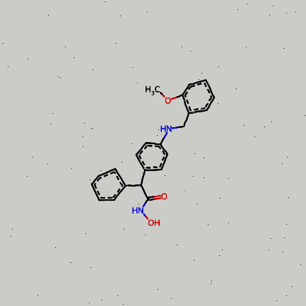 COc1ccccc1CNc1ccc(C(C(=O)NO)c2ccccc2)cc1